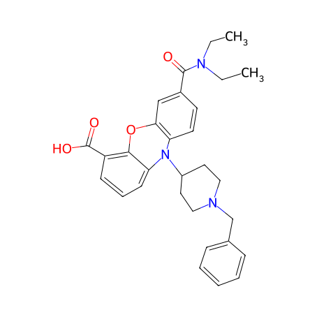 CCN(CC)C(=O)c1ccc2c(c1)Oc1c(C(=O)O)cccc1N2C1CCN(Cc2ccccc2)CC1